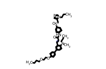 CCCCOCCOc1ccc(-c2ccc(N(C)CCC)c(/C=C/C(=O)Nc3ccc([S+]([O-])Cc4cncn4CCC)cc3)c2)cc1